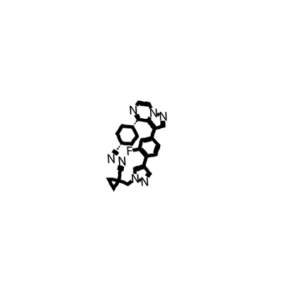 N#CC1(Cn2cc(-c3ccc(-c4cnn5ccnc([C@H]6CC[C@@H](C#N)CC6)c45)cc3F)cn2)CC1